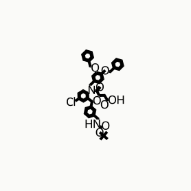 CC(C)(C)OC(=O)NCc1cccc(C2OC(CC(=O)O)C(=O)N(Cc3ccc(OCc4ccccc4)c(OCc4ccccc4)c3)c3ccc(Cl)cc32)c1